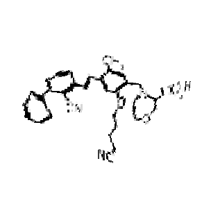 Cc1cc(CN2CCOCC2C(=O)O)c(OCCCCC#N)cc1C=Cc1cccc(-c2ccccc2)c1C#N